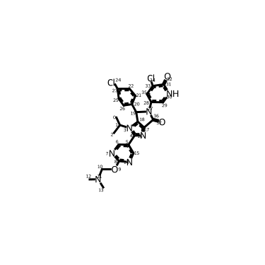 CC(C)n1c(-c2cnc(OCN(C)C)nc2)nc2c1C(c1ccc(Cl)cc1)N(c1c[nH]c(=O)c(Cl)c1)C2=O